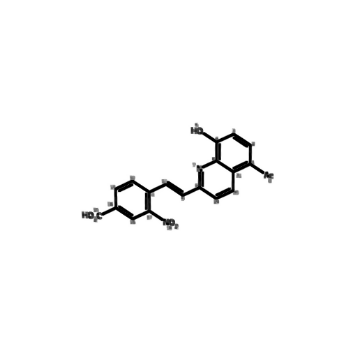 CC(=O)c1ccc(O)c2nc(C=Cc3ccc(C(=O)O)cc3[N+](=O)[O-])ccc12